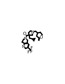 C=C1CC(CN2CCC(CC3CC3)(C(=O)N3CCc4ncc(C(F)(F)F)cc4C3)C2)CCO1